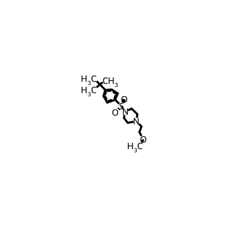 COCCN1CCN(S(=O)(=O)c2ccc(C(C)(C)C)cc2)CC1